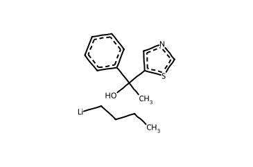 CC(O)(c1ccccc1)c1cncs1.[Li][CH2]CCC